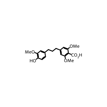 COc1cc(CCCc2cc(OC)c(C(=O)O)c(OC)c2)ccc1O